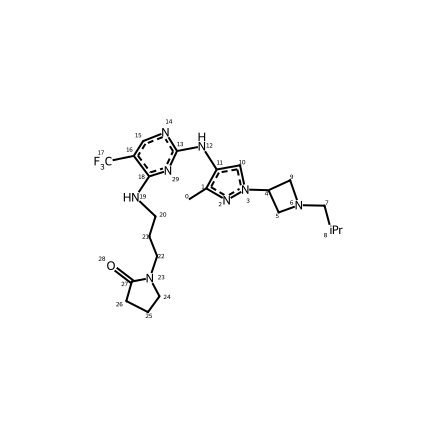 Cc1nn(C2CN(CC(C)C)C2)cc1Nc1ncc(C(F)(F)F)c(NCCCN2CCCC2=O)n1